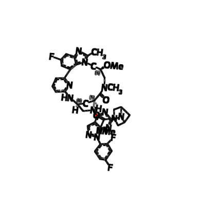 CNC(=O)N1CC2CC(C1)N2c1nc(N2C[C@@H]3C[C@H]2C(=O)N(C)C[C@H](OC)Cn2c(C)nc4cc(F)cc(c42)-c2cccc(n2)N3)c2cnn(-c3ccc(F)cc3F)c2n1